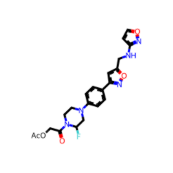 CC(=O)OCC(=O)N1CCN(c2ccc(-c3cc(CNc4ccon4)on3)cc2)CC1F